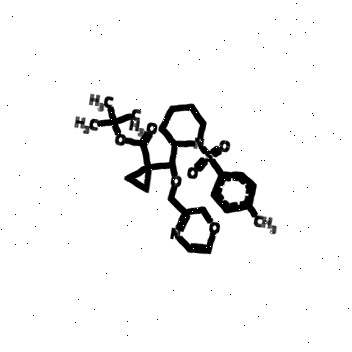 Cc1ccc(S(=O)(=O)N2CCCCC2C(OCC2=NC=COC2)C2(C(=O)OC(C)(C)C)CC2)cc1